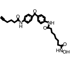 C#CCCCC(=O)Nc1ccc(C(=O)c2ccc(NC(=O)CCCCCCC(=O)NO)cc2)cc1